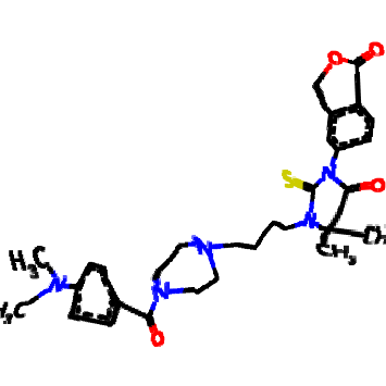 CN(C)c1ccc(C(=O)N2CCN(CCCCN3C(=S)N(c4ccc5c(c4)COC5=O)C(=O)C3(C)C)CC2)cc1